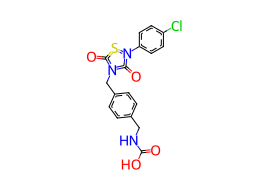 O=C(O)NCc1ccc(Cn2c(=O)sn(-c3ccc(Cl)cc3)c2=O)cc1